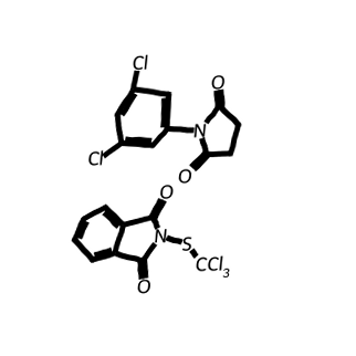 O=C1CCC(=O)N1c1cc(Cl)cc(Cl)c1.O=C1c2ccccc2C(=O)N1SC(Cl)(Cl)Cl